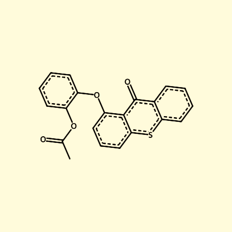 CC(=O)Oc1ccccc1Oc1cccc2sc3ccccc3c(=O)c12